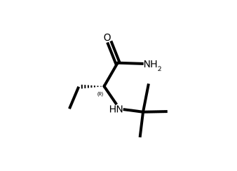 CC[C@@H](NC(C)(C)C)C(N)=O